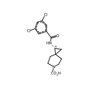 O=C(N[C@@H]1CC12CCN(C(=O)O)CC2)c1cc(Cl)cc(Cl)c1